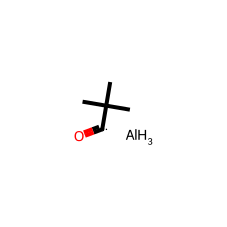 CC(C)(C)[C]=O.[AlH3]